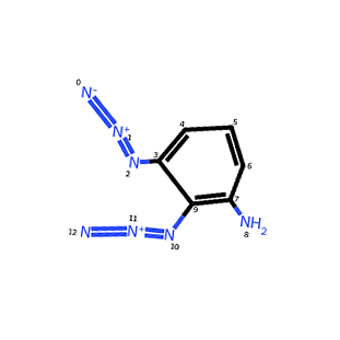 [N-]=[N+]=Nc1cccc(N)c1N=[N+]=[N-]